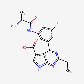 C=C(C)C(=O)Nc1cc(F)cc(-c2nc(CC)nc3[nH]cc(C(=O)O)c23)c1